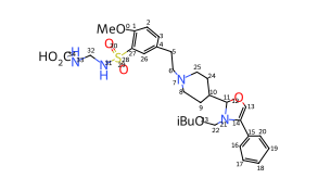 COc1ccc(CCN2CCC(C3OC=C(c4ccccc4)N3COCC(C)C)CC2)cc1S(=O)(=O)NCNC(=O)O